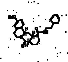 CC(C)COc1ccc2c(c1)CCN1C(=O)[C@H]3CCCN(C(=O)NCCc4ccccc4)[C@H]3C[C@H]21